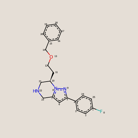 Fc1ccc(-c2cc3n(n2)[C@H](CCOCc2ccccc2)CNC3)cc1